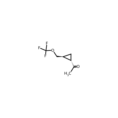 CC(=O)[C@H]1C[C@@H]1COC(F)(F)F